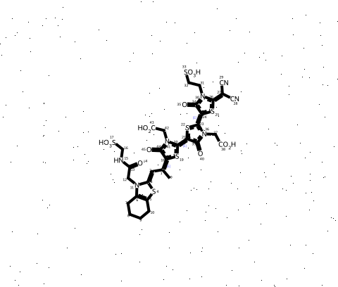 C/C(C=C1SC2=C(CCCC2)N1CC(=O)NCS(=O)(=O)O)=c1\s/c(=c2/s/c(=c3/sc(=C(C#N)C#N)n(CCS(=O)(=O)O)c3=O)n(CC(=O)O)c2=O)n(CC(=O)O)c1=O